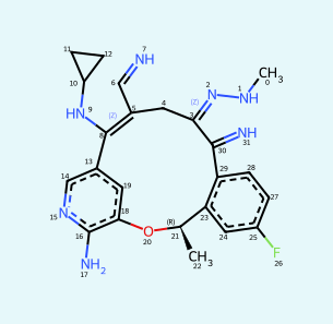 CN/N=C1/C/C(C=N)=C(/NC2CC2)c2cnc(N)c(c2)O[C@H](C)c2cc(F)ccc2C1=N